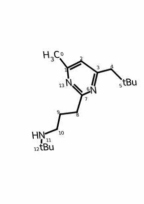 Cc1cc(CC(C)(C)C)nc(CCCNC(C)(C)C)n1